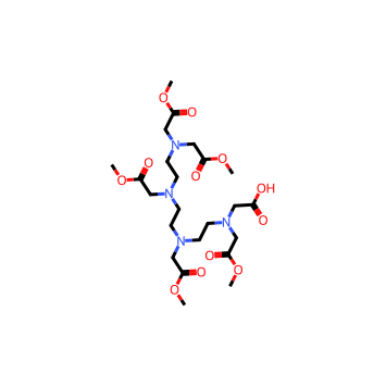 COC(=O)CN(CCN(CCN(CC(=O)OC)CC(=O)OC)CC(=O)OC)CCN(CC(=O)O)CC(=O)OC